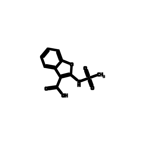 CS(=O)(=O)Nc1oc2ccccc2c1C(=O)O